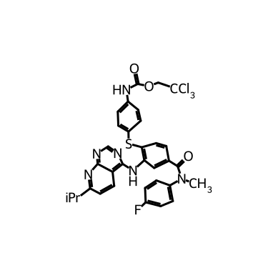 CC(C)c1ccc2c(Nc3cc(C(=O)N(C)c4ccc(F)cc4)ccc3Sc3ccc(NC(=O)OCC(Cl)(Cl)Cl)cc3)ncnc2n1